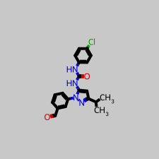 CC(C)c1cc(NC(=O)Nc2ccc(Cl)cc2)n(-c2cccc(C=O)c2)n1